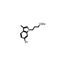 COCCCn1cc(C)c2ccc(C(C)C)cc21